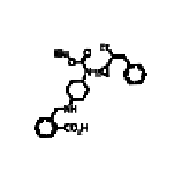 CCC(=Cc1ccccc1)C1C[C@@H]1N(C(=O)OC(C)(C)C)C1CCC(NCc2ccccc2C(=O)O)CC1